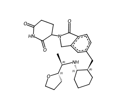 C[C@@H](N[C@H]1CCCC[C@@H]1Cc1ccc2c(c1)CN(C1CCC(=O)NC1=O)C2=O)[C@@H]1CCCO1